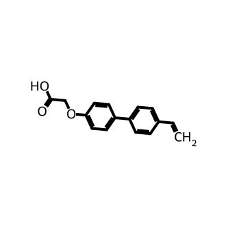 C=Cc1ccc(-c2ccc(OCC(=O)O)cc2)cc1